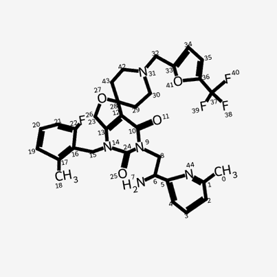 Cc1cccc(C(N)Cn2c(=O)c3c(n(Cc4c(C)cccc4F)c2=O)COC32CCN(Cc3ccc(C(F)(F)F)o3)CC2)n1